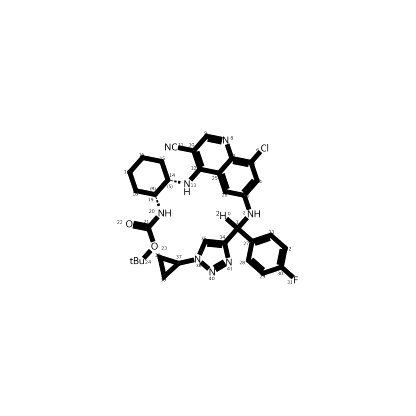 [2H]C(Nc1cc(Cl)c2ncc(C#N)c(N[C@H]3CCCC[C@H]3NC(=O)OC(C)(C)C)c2c1)(c1ccc(F)cc1)c1cn(C2CC2)nn1